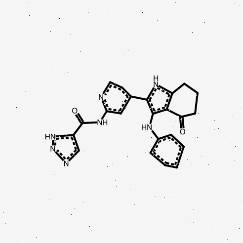 O=C(Nc1cc(-c2[nH]c3c(c2Nc2ccccc2)C(=O)CCC3)ccn1)c1cnn[nH]1